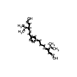 CN(C)C(/C=N/O)=N\CCCn1cc(C/N=C(/C=N/O)N(C)C)nn1